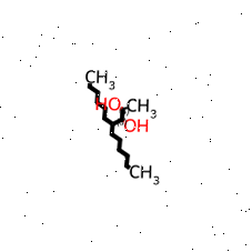 CCCCCCC(CCCCCC)[C@H](O)[C@H](C)O